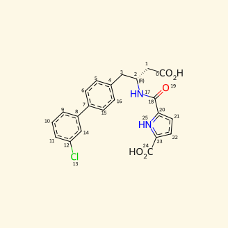 O=C(O)C[C@@H](Cc1ccc(-c2cccc(Cl)c2)cc1)NC(=O)c1ccc(C(=O)O)[nH]1